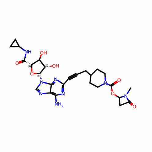 CN1C(=O)CC1OC(=O)N1CCC(CC#Cc2nc(N)c3ncn([C@@H]4O[C@H](C(=O)NC5CC5)C(O)[C@@H]4O)c3n2)CC1